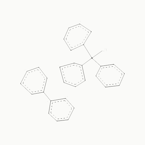 BrC(c1ccccc1)(c1ccccc1)c1ccccc1.c1ccc(-c2ccccc2)cc1